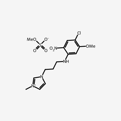 COS(=O)(=O)[O-].COc1cc(NCCCn2cc[n+](C)c2)c([N+](=O)[O-])cc1Cl